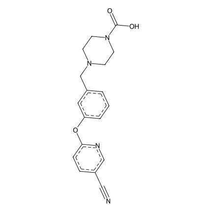 N#Cc1ccc(Oc2cccc(CN3CCN(C(=O)O)CC3)c2)nc1